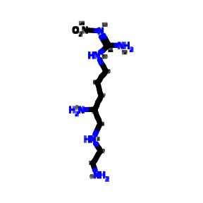 NCCNCC(N)CCCNC(N)=N[N+](=O)[O-]